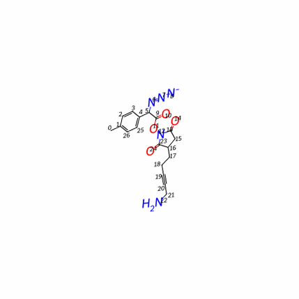 Cc1ccc(C(N=[N+]=[N-])C(=O)ON2C(=O)CC(CCC#CCN)C2=O)cc1